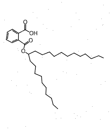 CCCCCCCCCCCCC(CCCCCCCCCC)OC(=O)c1ccccc1C(=O)O